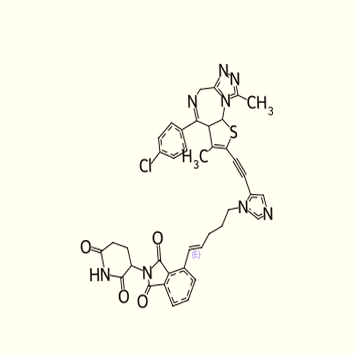 CC1=C(C#Cc2cncn2CCC/C=C/c2cccc3c2C(=O)N(C2CCC(=O)NC2=O)C3=O)SC2C1C(c1ccc(Cl)cc1)=NCc1nnc(C)n12